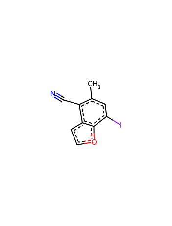 Cc1cc(I)c2occc2c1C#N